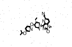 CC[C@@H]1CN(c2nc(=O)n(C)c3ccc(C#N)nc23)[C@@H](C)C[C@@H]1Oc1ccc(OC(C)C)cn1